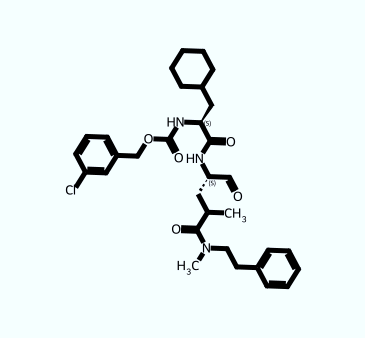 CC(C[C@@H](C=O)NC(=O)[C@H](CC1CCCCC1)NC(=O)OCc1cccc(Cl)c1)C(=O)N(C)CCc1ccccc1